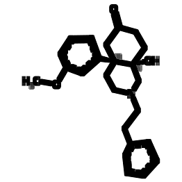 COc1cccc([C@]23CCN(CCc4ccccc4)C[C@]2(O)CCC(=O)C3)c1